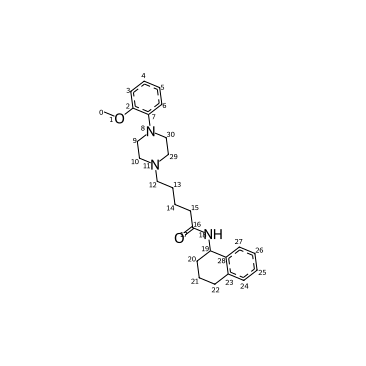 COc1ccccc1N1CCN(CCCCC(=O)NC2CCCc3ccccc32)CC1